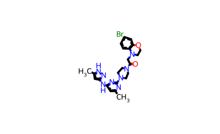 Cc1cc(Nc2cc(C)[nH]n2)nc(N2CCN(C(=O)CN3CCOc4cc(Br)ccc43)CC2)n1